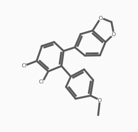 COc1ccc(-c2c(-c3ccc4c(c3)OCO4)c[c]c(Cl)c2Cl)cc1